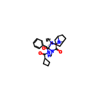 CC(C)N1C(=O)N(C)C(=O)C12CC1CCC(C2)N1CC[C@H](NC(=O)C1CCC1)c1ccccc1